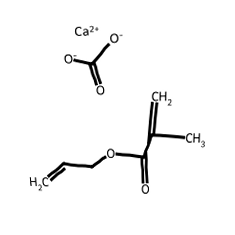 C=CCOC(=O)C(=C)C.O=C([O-])[O-].[Ca+2]